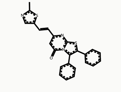 Cc1ncc(/C=C/c2cc(=O)n3c(-c4ccccc4)c(-c4ccccc4)sc3n2)s1